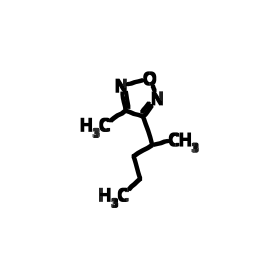 CCCC(C)c1nonc1C